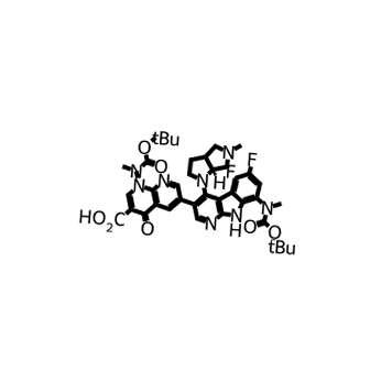 CN1CC2CCN(c3c(-c4cnc5c(c4)c(=O)c(C(=O)O)cn5N(C)C(=O)OC(C)(C)C)cnc4[nH]c5c(N(C)C(=O)OC(C)(C)C)cc(F)c(F)c5c34)[C@H]2C1